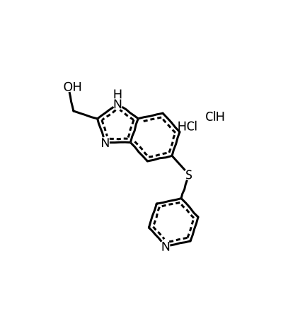 Cl.Cl.OCc1nc2cc(Sc3ccncc3)ccc2[nH]1